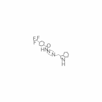 O=C(NN1CCN(CCc2c[nH]c3ccccc23)CC1)c1ccc(C(F)(F)F)cc1